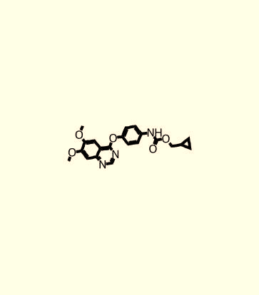 COc1cc2ncnc(Oc3ccc(NC(=O)OCC4CC4)cc3)c2cc1OC